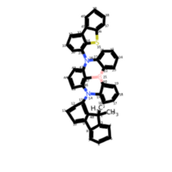 CC1(C)c2ccccc2-c2cccc(N3c4ccccc4B4c5ccccc5N(c5cccc6c5sc5ccccc56)c5cccc3c54)c21